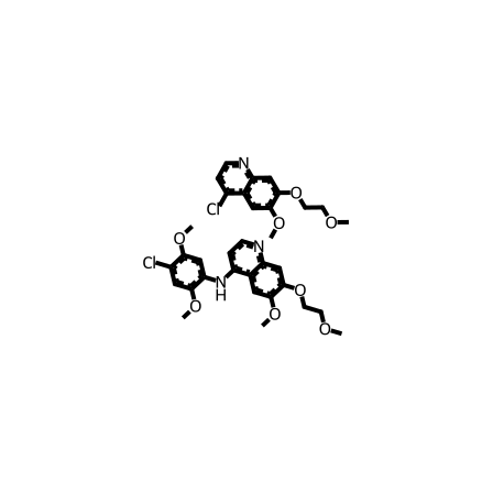 COCCOc1cc2nccc(Cl)c2cc1OC.COCCOc1cc2nccc(Nc3cc(OC)c(Cl)cc3OC)c2cc1OC